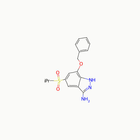 CC(C)S(=O)(=O)c1cc(OCc2ccccc2)c2[nH]nc(N)c2c1